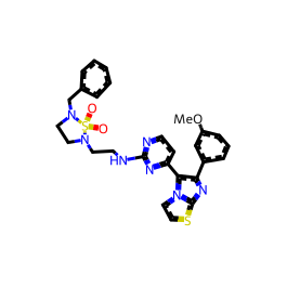 COc1cccc(-c2nc3sccn3c2-c2ccnc(NCCN3CCN(Cc4ccccc4)S3(=O)=O)n2)c1